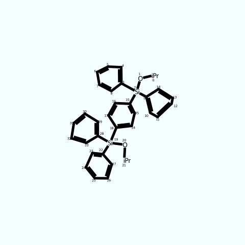 CC(C)O[Si](c1ccccc1)(c1ccccc1)c1ccc([Si](OC(C)C)(c2ccccc2)c2ccccc2)cc1